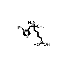 CC(C)n1cncc1CC(C)(N)CCCCB(O)O